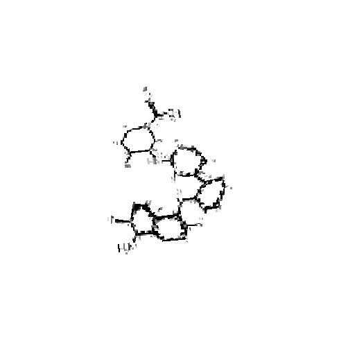 Cc1ccc2c(N)c(F)ccc2c1Oc1ncccc1-c1ccnc(NC2CN(C(=O)O)CCC2C)n1